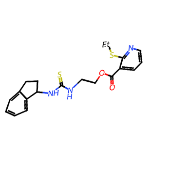 CCSc1ncccc1C(=O)OCCNC(=S)NC1CCc2ccccc21